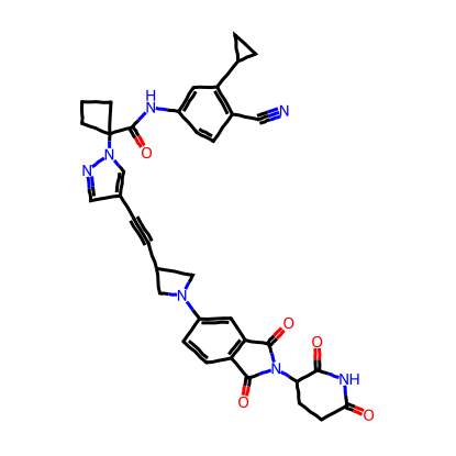 N#Cc1ccc(NC(=O)C2(n3cc(C#CC4CN(c5ccc6c(c5)C(=O)N(C5CCC(=O)NC5=O)C6=O)C4)cn3)CCC2)cc1C1CC1